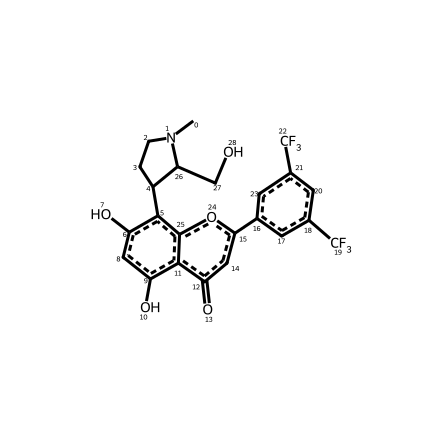 CN1CCC(c2c(O)cc(O)c3c(=O)cc(-c4cc(C(F)(F)F)cc(C(F)(F)F)c4)oc23)C1CO